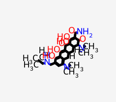 CN(C)c1cc(CNCC(C)(C)C)c(O)c2c1C[C@H]1C[C@H]3[C@H](N(C)C)C(=O)C(C(N)=O)=C(O)[C@@]3(O)C(=O)C1=C2O